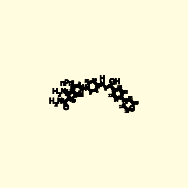 CCCc1cc(N2CCC(NCC(O)c3ccc(N4CCOCC4)cc3)CC2)nc2sc(C(N)=O)c(N)c12